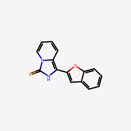 S=c1[nH]c(-c2cc3ccccc3o2)c2ccccn12